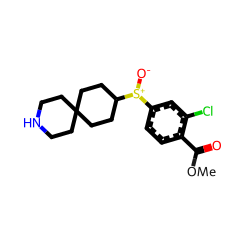 COC(=O)c1ccc([S+]([O-])C2CCC3(CCNCC3)CC2)cc1Cl